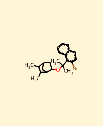 CC1C2CC(OC(C)(C)c3c(Br)ccc4ccccc34)C(C2)C1C